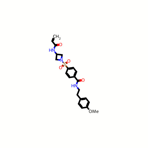 C=CC(=O)NC1CN(S(=O)(=O)c2ccc(C(=O)NCCc3ccc(OC)cc3)cc2)C1